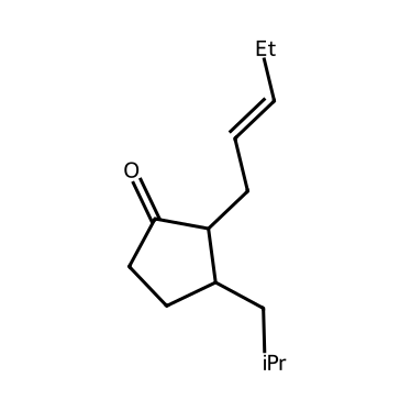 CC/C=C/CC1C(=O)CCC1CC(C)C